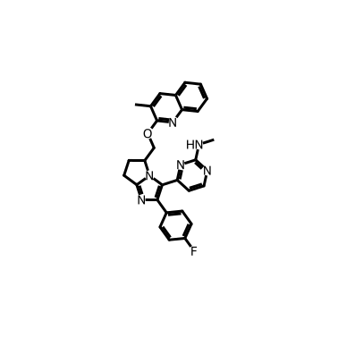 CNc1nccc(-c2c(-c3ccc(F)cc3)nc3n2C(COc2nc4ccccc4cc2C)CC3)n1